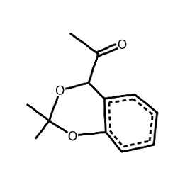 CC(=O)C1OC(C)(C)Oc2ccccc21